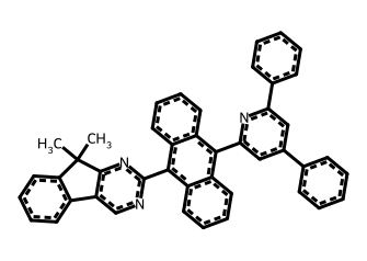 CC1(C)c2ccccc2-c2cnc(-c3c4ccccc4c(-c4cc(-c5ccccc5)cc(-c5ccccc5)n4)c4ccccc34)nc21